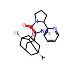 NC(=O)C12CC3C[C@H](C1)C(OC(=O)N1CCCC1c1ccccn1)[C@@H](C3)C2